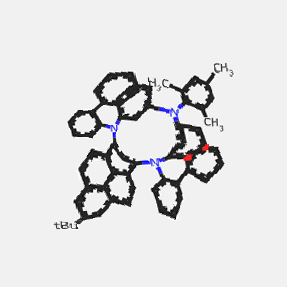 Cc1cc(C)c(N2c3cccc(c3)N(c3ccccc3-c3ccccc3)c3cc(c4ccc5cc(C(C)(C)C)cc6ccc3c4c65)N(c3ccccc3-c3ccccc3)c3cccc2c3)c(C)c1